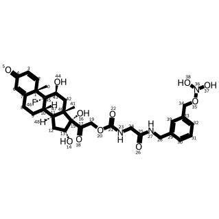 C[C@]12C=CC(=O)C=C1CC[C@H]1[C@@H]3C[C@@H](O)[C@](O)(C(=O)COC(=O)NCC(=O)NCc4cccc(CON(O)O)c4)[C@@]3(C)C[C@H](O)[C@@]12F